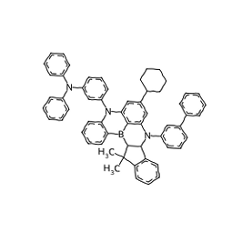 CC1(C)c2ccccc2C2C1B1c3ccccc3N(c3cccc(N(c4ccccc4)c4ccccc4)c3)c3cc(C4CCCCC4)cc(c31)N2c1cccc(-c2ccccc2)c1